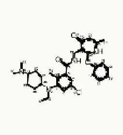 CCN(c1cc(Cl)cc(C(=O)NCc2c(Oc3ccccc3)[nH]c(C)cc2=O)c1C)[C@H]1CC[C@H](N(C)C)CC1